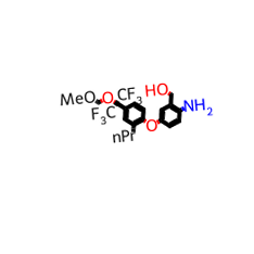 CCCc1cc(C(OCOC)(C(F)(F)F)C(F)(F)F)ccc1Oc1ccc(N)c(CO)c1